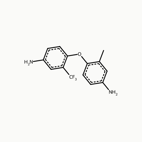 Cc1cc(N)ccc1Oc1ccc(N)cc1C(F)(F)F